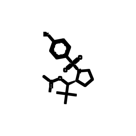 C[SiH](C)OC([C@H]1CCCN1S(=O)(=O)c1ccc(Br)cc1)C(C)(C)C